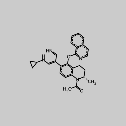 CC(=O)N1c2ccc(/C(C=N)=C/NC3CC3)c(Oc3nccc4ccccc34)c2CC[C@@H]1C